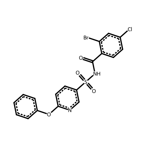 O=C(NS(=O)(=O)c1ccc(Oc2ccccc2)nc1)c1ccc(Cl)cc1Br